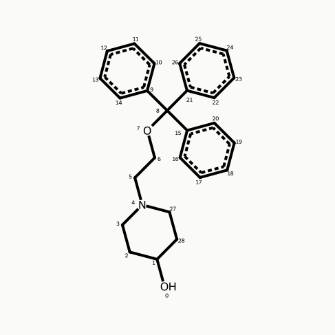 OC1CCN(CCOC(c2ccccc2)(c2ccccc2)c2ccccc2)CC1